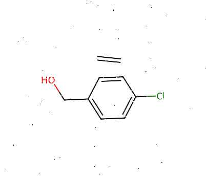 C=C.OCc1ccc(Cl)cc1